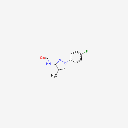 CC1CN(c2ccc(F)cc2)N=C1NC=O